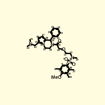 COc1c(C)cc(S(=O)(=O)N(C)CCOCC(=O)N2CCn3c(CN(C)C)ccc3C2c2ccccc2)c(C)c1C